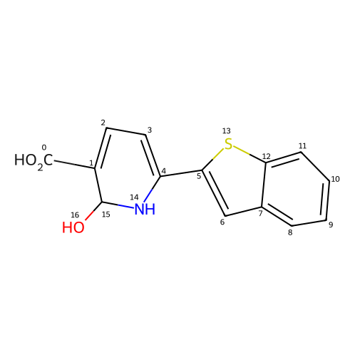 O=C(O)C1=CC=C(c2cc3ccccc3s2)NC1O